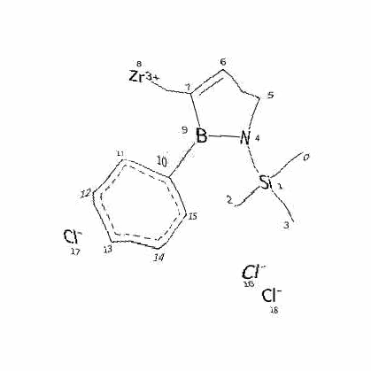 C[Si](C)(C)N1CC=[C]([Zr+3])B1c1ccccc1.[Cl-].[Cl-].[Cl-]